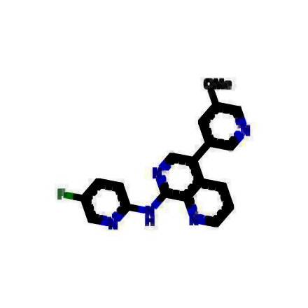 COc1cncc(-c2cnc(Nc3ccc(F)cn3)c3ncccc23)c1